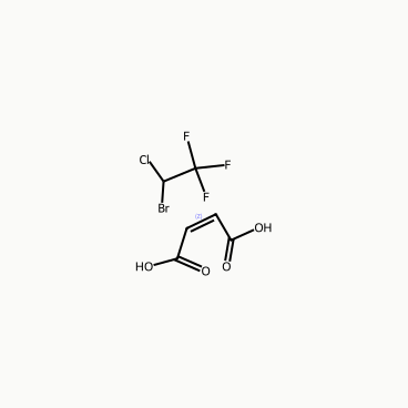 FC(F)(F)C(Cl)Br.O=C(O)/C=C\C(=O)O